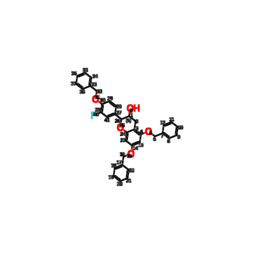 O[C@H]1Cc2c(OCc3ccccc3)cc(OCc3ccccc3)cc2OC1c1ccc(OCc2ccccc2)c(F)c1